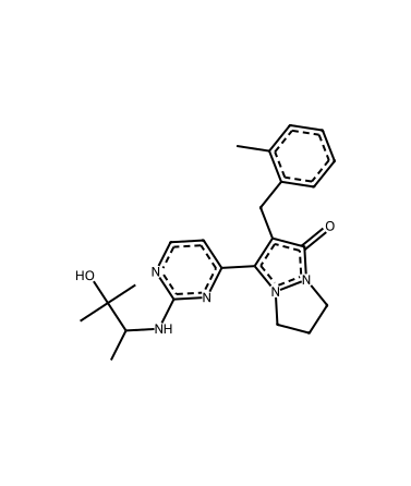 Cc1ccccc1Cc1c(-c2ccnc(NC(C)C(C)(C)O)n2)n2n(c1=O)CCC2